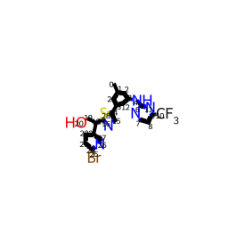 Cc1cc(Nc2nccc(C(F)(F)F)n2)cc(-c2cnc(C(CO)c3ccc(Br)nc3)s2)c1